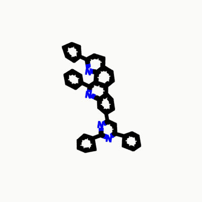 c1ccc(-c2cc(-c3ccc4c(c3)nc(-c3ccccc3)c3c4ccc4ccc(-c5ccccc5)nc43)nc(-c3ccccc3)n2)cc1